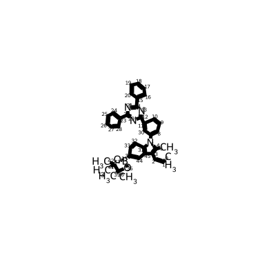 C/C=C\c1c(C)n(-c2cccc(-c3nc(-c4ccccc4)nc(-c4ccccc4)n3)c2)c2ccc(B3OC(C)(C)C(C)(C)O3)cc12